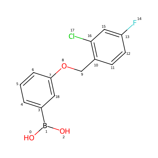 OB(O)c1cccc(OCc2ccc(F)cc2Cl)c1